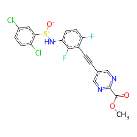 COC(=O)c1ncc(C#Cc2c(F)ccc(N[S+]([O-])c3cc(Cl)ccc3Cl)c2F)cn1